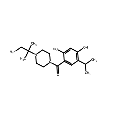 CC(C)c1cc(C(=O)N2CCN(C(C)(C)CN)CC2)c(O)cc1O